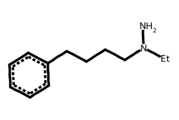 CCN(N)CCCCc1ccccc1